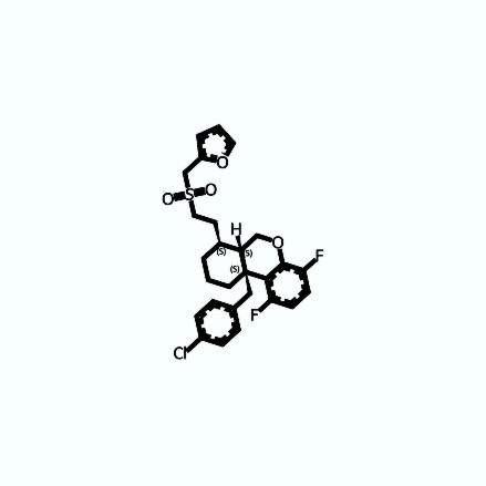 O=S(=O)(CC[C@@H]1CCC[C@@]2(Cc3ccc(Cl)cc3)c3c(F)ccc(F)c3OC[C@@H]12)Cc1ccco1